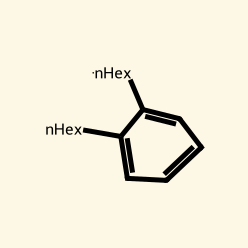 CCCCC[CH]c1ccccc1CCCCCC